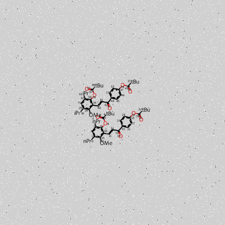 CCCc1cc(CCC)c(OC(=O)C(C)(C)C)c(/C=C/C(=O)c2ccc(OC(=O)C(C)(C)C)cc2)c1OC.COc1c(C(C)C)cc(C(C)C)c(OC(=O)C(C)(C)C)c1/C=C/C(=O)c1ccc(OC(=O)C(C)(C)C)cc1